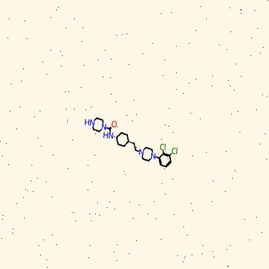 O=C(N[C@H]1CC[C@H](CCN2CCN(c3cccc(Cl)c3Cl)CC2)CC1)N1CCNCC1